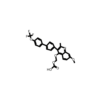 COc1ccc2c(OCOC(=O)O)c(-c3ccc(-c4ccc(OC(F)(F)F)cc4)cc3)c(C)nc2c1